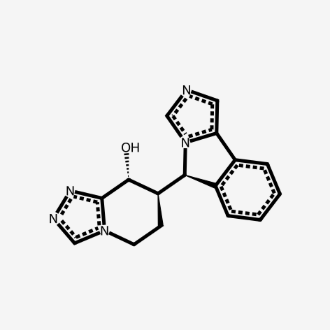 O[C@H]1c2nncn2CC[C@@H]1[C@@H]1c2ccccc2-c2cncn21